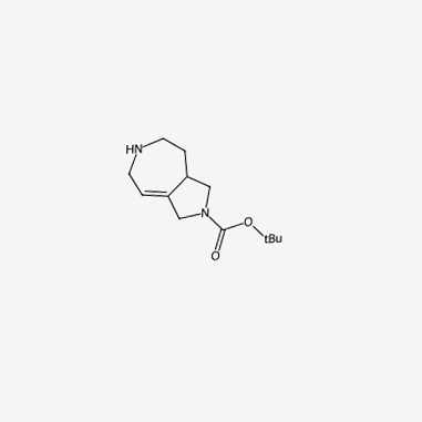 CC(C)(C)OC(=O)N1CC2=CCNCCC2C1